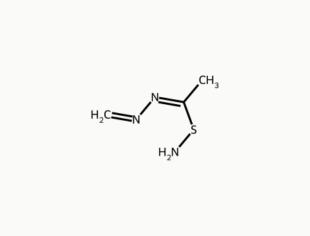 C=N/N=C(/C)SN